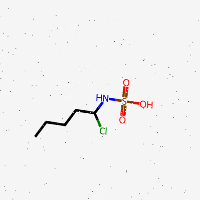 CCCCC(Cl)NS(=O)(=O)O